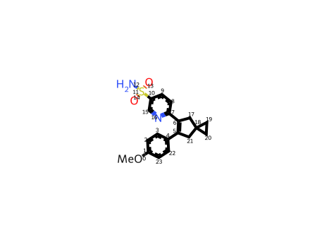 COc1ccc(C2=C(c3ccc(S(N)(=O)=O)cn3)CC3(CC3)C2)cc1